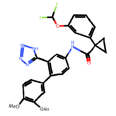 COc1ccc(-c2ccc(NC(=O)C3(c4cccc(OC(F)F)c4)CC3)cc2-c2nnn[nH]2)cc1OC